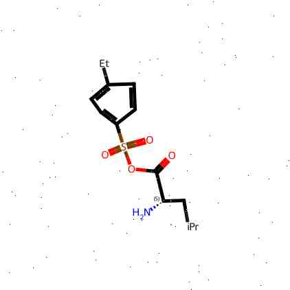 CCc1ccc(S(=O)(=O)OC(=O)[C@@H](N)CC(C)C)cc1